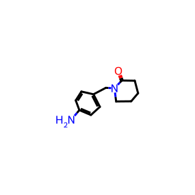 Nc1ccc(CN2CCCCC2=O)cc1